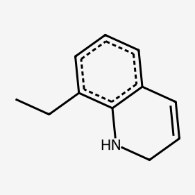 CCc1cccc2c1NCC=C2